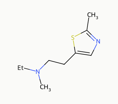 CCN(C)CCc1cnc(C)s1